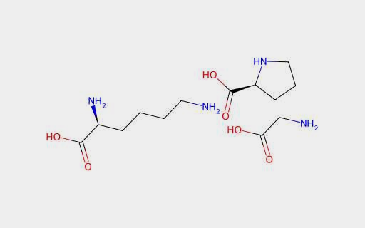 NCC(=O)O.NCCCC[C@H](N)C(=O)O.O=C(O)[C@@H]1CCCN1